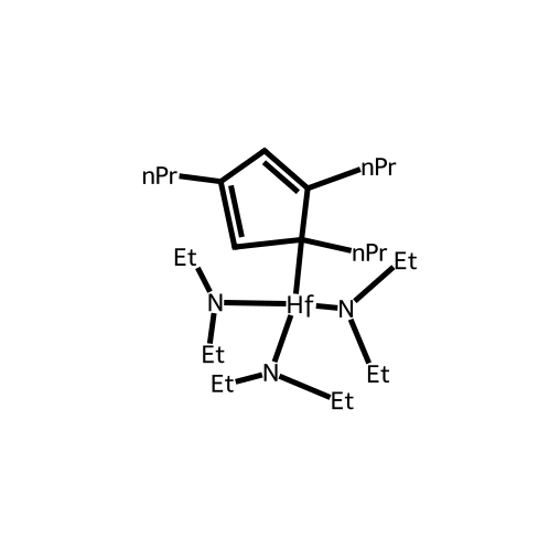 CCCC1=C[C](CCC)([Hf]([N](CC)CC)([N](CC)CC)[N](CC)CC)C(CCC)=C1